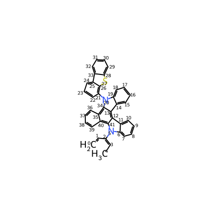 C=C/C(=C\C)n1c2ccccc2c2c3c4ccccc4n(-c4cccc5c4sc4ccccc45)c3c3ccccc3c21